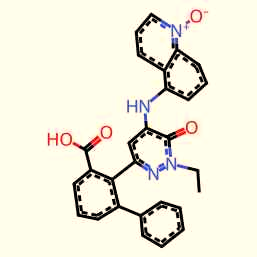 CCn1nc(-c2c(C(=O)O)cccc2-c2ccccc2)cc(Nc2cccc3c2ccc[n+]3[O-])c1=O